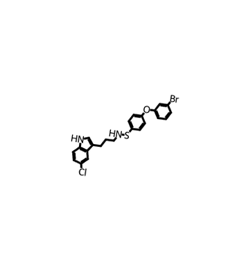 Clc1ccc2[nH]cc(CCCNSc3ccc(Oc4cccc(Br)c4)cc3)c2c1